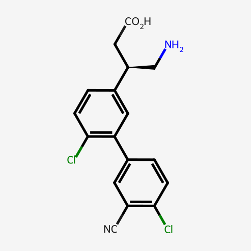 N#Cc1cc(-c2cc([C@H](CN)CC(=O)O)ccc2Cl)ccc1Cl